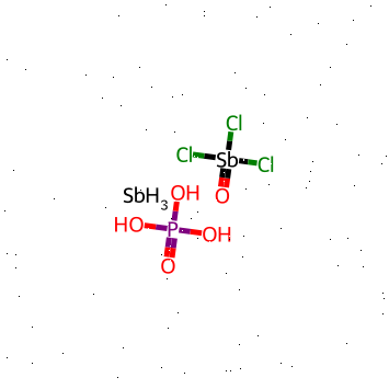 O=P(O)(O)O.[O]=[Sb]([Cl])([Cl])[Cl].[SbH3]